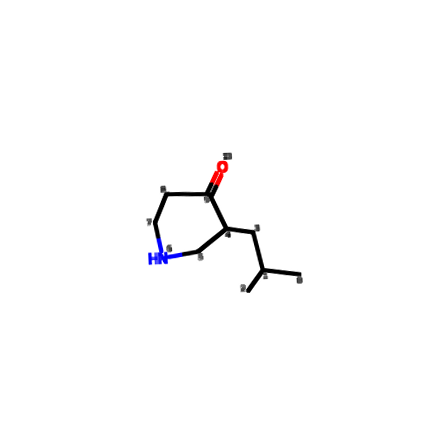 CC(C)CC1CNCCC1=O